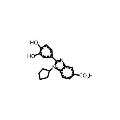 O=C(O)c1ccc2c(c1)nc(-c1ccc(O)c(O)c1)n2C1CCCC1